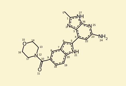 Cc1nc2c(-c3cc4cc(C(=O)N5CCOCC5)ccc4[nH]3)cc(N)nc2[nH]1